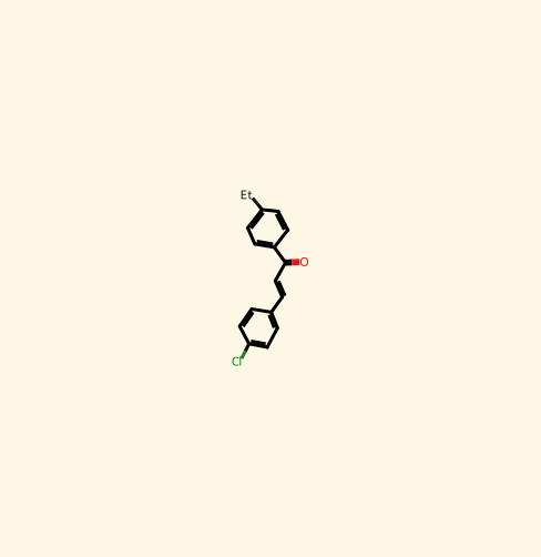 CCc1ccc(C(=O)C=Cc2ccc(Cl)cc2)cc1